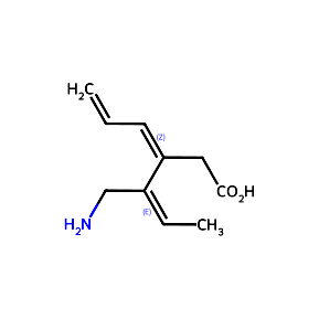 C=C/C=C(CC(=O)O)\C(=C/C)CN